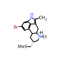 CCN1C[C@H](CSC)CC2c3cc(Br)cc4[nH]c(C)c(c34)C[C@H]21